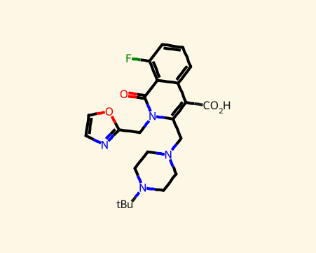 CC(C)(C)N1CCN(Cc2c(C(=O)O)c3cccc(F)c3c(=O)n2Cc2ncco2)CC1